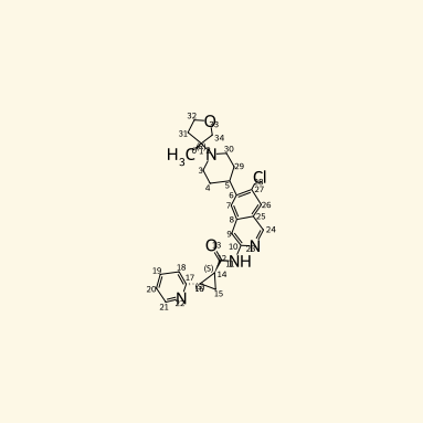 C[C@@]1(N2CCC(c3cc4cc(NC(=O)[C@H]5C[C@@H]5c5ccccn5)ncc4cc3Cl)CC2)CCOC1